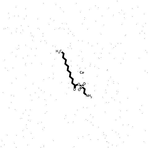 CCCCCCCCCCCC(=O)OS(=O)(=O)CCN.[Ca]